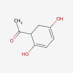 CC(=O)C1CC(O)=CC=C1O